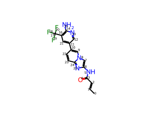 C/C=C/C(=O)Nc1cn2cc(-c3cnc(N)c(C(F)(F)F)c3)ccc2n1